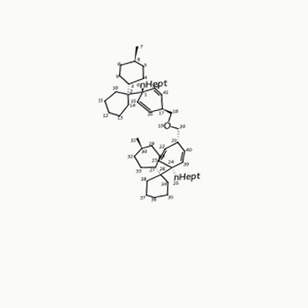 CCCCCCC[C@]1(C2([C@H]3CC[C@H](C)CC3)CCCCC2)C=C[C@H](COC[C@H]2C=C[C@](CCCCCCC)(C3([C@H]4CC[C@H](C)CC4)CCCCC3)C=C2)C=C1